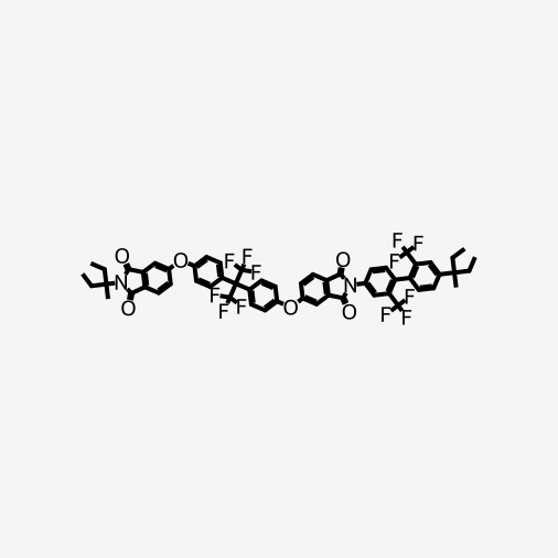 CCC(C)(CC)c1ccc(-c2ccc(N3C(=O)c4ccc(Oc5ccc(C(c6ccc(Oc7ccc8c(c7)C(=O)N(C(C)(CC)CC)C8=O)cc6)(C(F)(F)F)C(F)(F)F)cc5)cc4C3=O)cc2C(F)(F)F)c(C(F)(F)F)c1